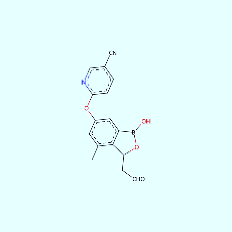 Cc1cc(Oc2ccc(C#N)cn2)cc2c1C(CC=O)OB2O